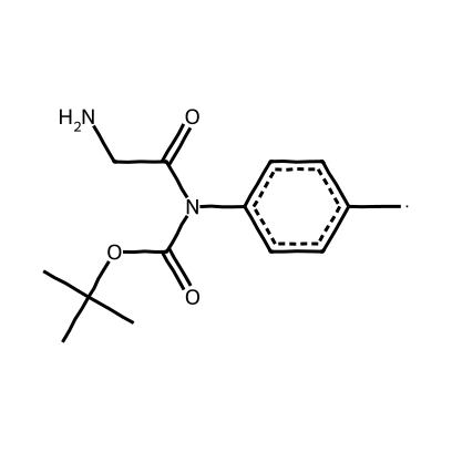 [CH2]c1ccc(N(C(=O)CN)C(=O)OC(C)(C)C)cc1